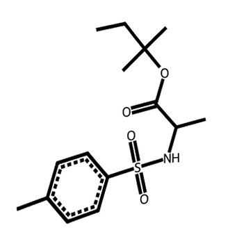 CCC(C)(C)OC(=O)C(C)NS(=O)(=O)c1ccc(C)cc1